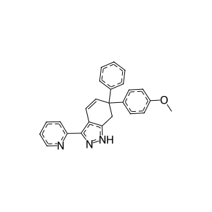 COc1ccc(C2(c3ccccc3)C=Cc3c(-c4ccccn4)n[nH]c3C2)cc1